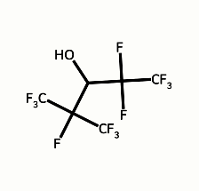 OC(C(F)(F)C(F)(F)F)C(F)(C(F)(F)F)C(F)(F)F